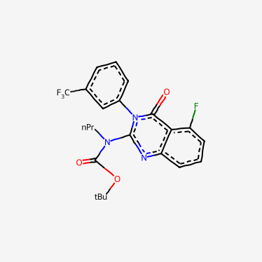 CCCN(C(=O)OC(C)(C)C)c1nc2cccc(F)c2c(=O)n1-c1cccc(C(F)(F)F)c1